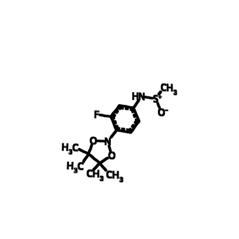 C[S+]([O-])Nc1ccc(N2OC(C)(C)C(C)(C)O2)c(F)c1